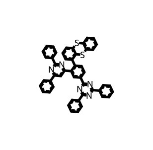 c1ccc(-c2cc(-c3cc(-c4nc(-c5ccccc5)nc(-c5ccccc5)n4)ccc3-c3cccc4c3Sc3ccccc3S4)nc(-c3ccccc3)n2)cc1